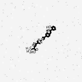 CC(C)C(C(=O)O)c1cc(-c2cnc(N3CC(c4ccc5cc(-c6ccccc6O)nnc5c4)C3)nc2)no1